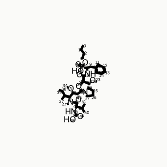 CCCCOP(=O)(O)C(Cc1ccccc1)NC(=O)C(C)C(OC)[C@@H]1CCCN1C(=O)CC(OC)C(C(C)CC)N(C)C(=O)C(NC(=O)O)C(C)C